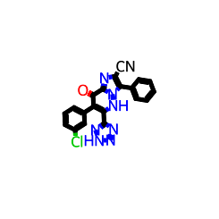 N#Cc1nc2c(=O)c(-c3cccc(Cl)c3)c(-c3nn[nH]n3)[nH]n2c1-c1ccccc1